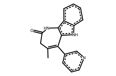 CC1=C(c2cccnc2)c2[nH]c3ccccc3c2NC(=O)C1